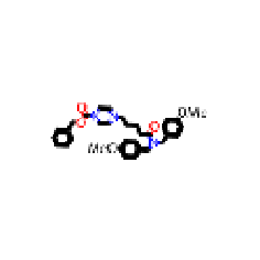 COc1ccc(CN(Cc2ccc(OC)cc2)C(=O)CCCCN2CCN(C(=O)OCc3ccccc3)CC2)cc1